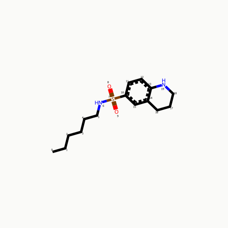 CCCCCCNS(=O)(=O)c1ccc2c(c1)CCCN2